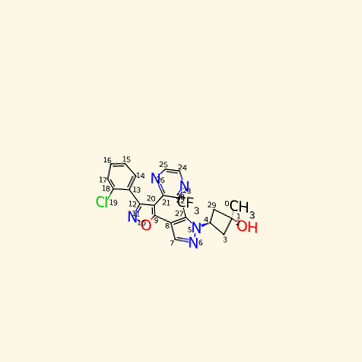 C[C@]1(O)C[C@@H](n2ncc(-c3onc(-c4ccccc4Cl)c3-c3cnccn3)c2C(F)(F)F)C1